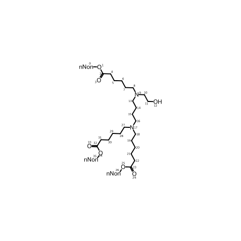 CCCCCCCCCOC(=O)CCCCCN(CCO)CCCCN(CCCCCC(=O)OCCCCCCCCC)CCCCCC(=O)OCCCCCCCCC